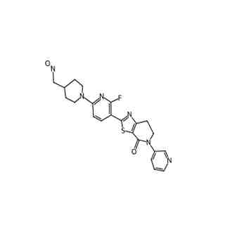 O=NCC1CCN(c2ccc(-c3nc4c(s3)C(=O)N(c3cccnc3)CC4)c(F)n2)CC1